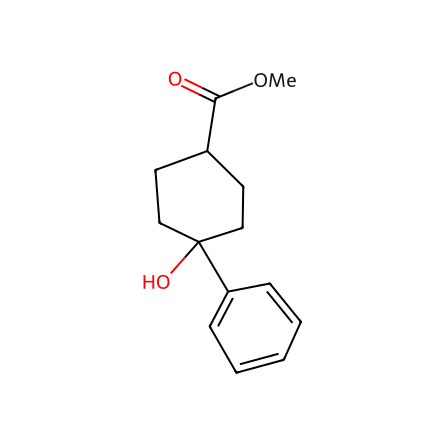 COC(=O)C1CCC(O)(c2ccccc2)CC1